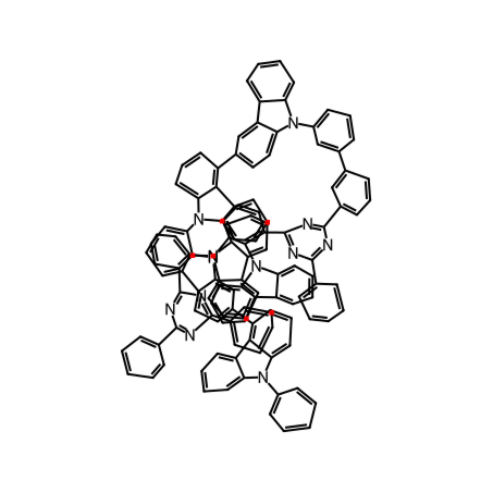 c1ccc(-c2nc(-c3cccc(-c4cccc(-n5c6ccccc6c6cc(-c7cccc8c7c7ccccc7n8-c7cccc(-c8nc(-c9ccccc9)nc(-c9ccccc9)n8)c7-n7c8ccccc8c8ccccc87)ccc65)c4)c3)nc(-c3cccc(-n4c5ccccc5c5ccc(-c6cccc7c6c6ccccc6n7-c6ccccc6)cc54)c3-n3c4ccccc4c4ccccc43)n2)cc1